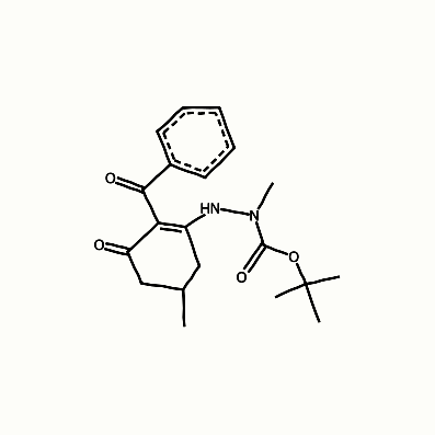 CC1CC(=O)C(C(=O)c2ccccc2)=C(NN(C)C(=O)OC(C)(C)C)C1